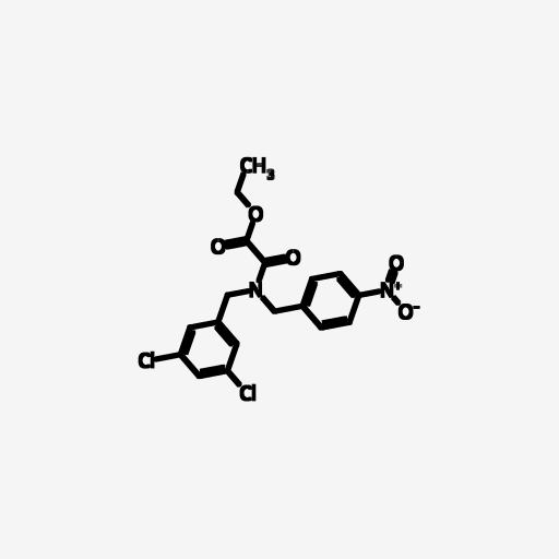 CCOC(=O)C(=O)N(Cc1ccc([N+](=O)[O-])cc1)Cc1cc(Cl)cc(Cl)c1